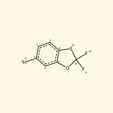 [2H]c1ccc2c(c1)OC(F)(F)S2